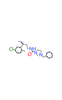 C/C=C(/CCNC(=O)N1CCN(Cc2ccccc2)C1)c1cc(Cl)ccc1C